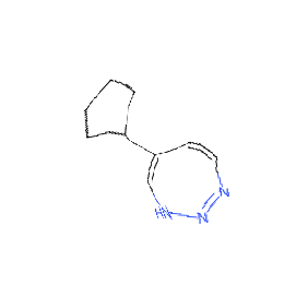 C1=CC(C2CCCC2)=CNN=N1